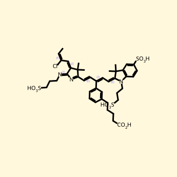 C\C=C(Cl)/C=C1\C(=N\CCCS(=O)(=O)O)N=C(/C=C/C(=C/C=C2/N(CCCS(=O)(=O)O)c3ccc(S(=O)(=O)O)cc3C2(C)C)c2cccc(CCCCC(=O)O)c2)C1(C)C